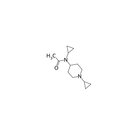 CC(=O)N(C1CC1)C1CCN(C2CC2)CC1